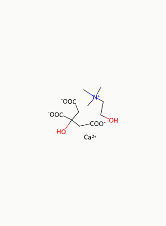 C[N+](C)(C)CCO.O=C([O-])CC(O)(CC(=O)[O-])C(=O)[O-].[Ca+2]